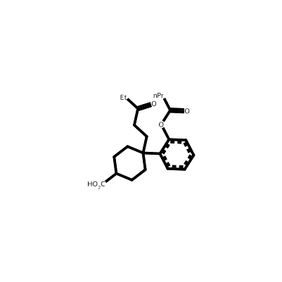 CCCC(=O)Oc1ccccc1C1(CCC(=O)CC)CCC(C(=O)O)CC1